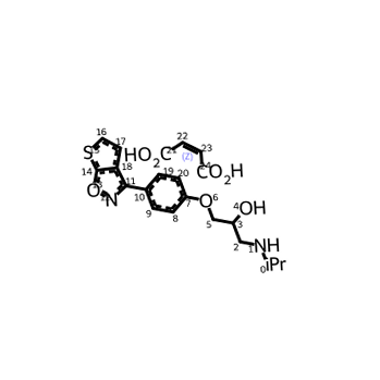 CC(C)NCC(O)COc1ccc(-c2noc3sccc23)cc1.O=C(O)/C=C\C(=O)O